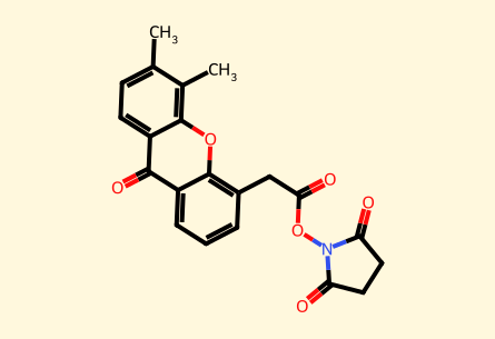 Cc1ccc2c(=O)c3cccc(CC(=O)ON4C(=O)CCC4=O)c3oc2c1C